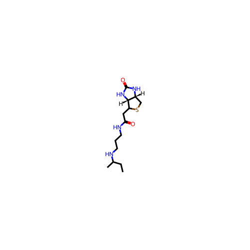 CCC(C)NCCCNC(=O)CC1SC[C@H]2NC(=O)N[C@@H]12